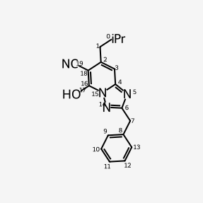 CC(C)Cc1cc2nc(Cc3ccccc3)nn2c(O)c1C#N